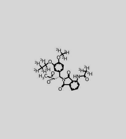 [2H]C([2H])([2H])Oc1ccc([C@@H](CS(C)(=O)=O)N2C(=O)c3cccc(NC(=O)C([2H])([2H])[2H])c3C2=O)cc1OC([2H])([2H])C([2H])([2H])[2H]